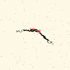 CCCCCCCCOC(=O)C1CCC(O)(c2ccc(CCCCCCC)cc2)CC1